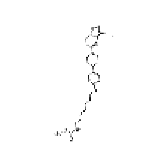 CC(C)(C)OC(=O)NCCOCCCCOc1ccc(C2CCN(C3=Nn4c(nnc4C(F)(F)F)CC3)CC2)cc1